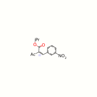 CC(=O)/C(=C/c1cccc([N+](=O)[O-])c1)C(=O)OC(C)C